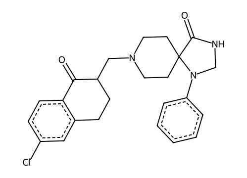 O=C1c2ccc(Cl)cc2CCC1CN1CCC2(CC1)C(=O)NCN2c1ccccc1